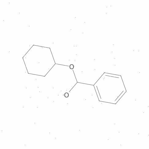 [O]C(OC1CCCCC1)c1ccccc1